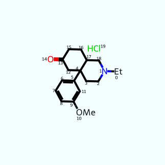 CCN1CCC2(c3cccc(OC)c3)CC(=O)CCC2C1.Cl